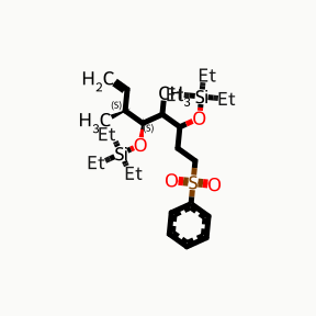 C=C[C@H](C)[C@H](O[Si](CC)(CC)CC)C(C)C(CCS(=O)(=O)c1ccccc1)O[Si](CC)(CC)CC